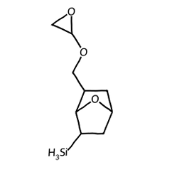 [SiH3]C1CC2CC(COC3CO3)C1O2